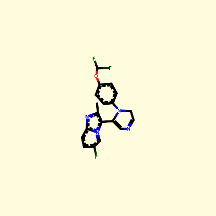 Cc1nc2ccc(F)cn2c1C1=CN=CCN1c1ccc(OC(F)F)cc1